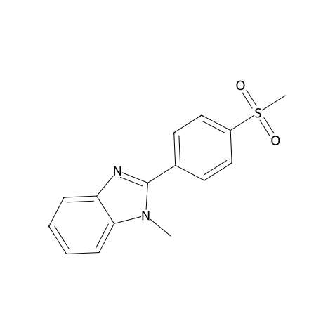 Cn1c(-c2ccc(S(C)(=O)=O)cc2)nc2ccccc21